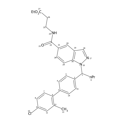 CCCC(c1ccc(-c2ccc(Cl)cc2C)cc1)n1ncc2cc(C(=O)NCCC(=O)OCC)ccc21